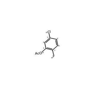 CC(=O)Oc1cc(Cl)ccc1F